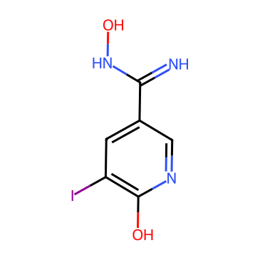 N=C(NO)c1cnc(O)c(I)c1